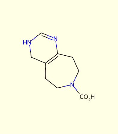 O=C(O)N1CCC2=C(CC1)N=CNC2